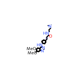 COc1cc2ncnc(Nc3ccc(/C=C/C(=O)NCCCN(C)C)cc3)c2cc1OC